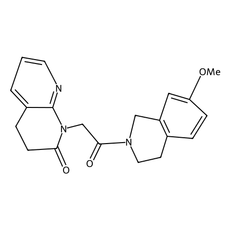 COc1ccc2c(c1)CN(C(=O)CN1C(=O)CCc3cccnc31)CC2